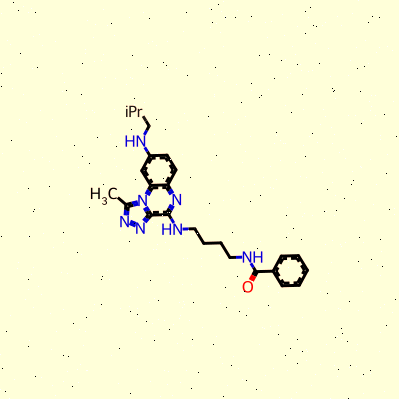 Cc1nnc2c(NCCCCNC(=O)c3ccccc3)nc3ccc(NCC(C)C)cc3n12